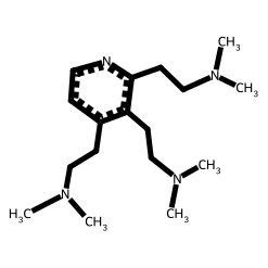 CN(C)CCc1ccnc(CCN(C)C)c1CCN(C)C